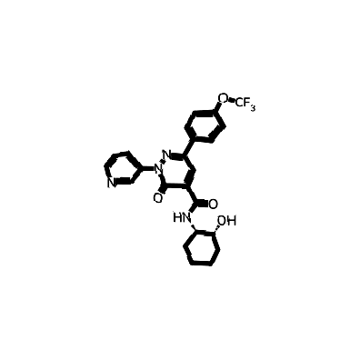 O=C(N[C@H]1CCCC[C@H]1O)c1cc(-c2ccc(OC(F)(F)F)cc2)nn(-c2cccnc2)c1=O